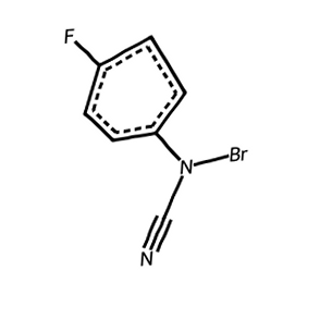 N#CN(Br)c1ccc(F)cc1